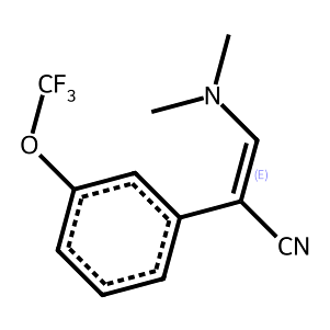 CN(C)/C=C(/C#N)c1cccc(OC(F)(F)F)c1